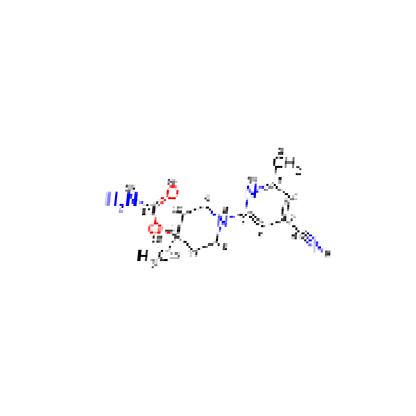 Cc1cc(C#N)cc(N2CCC(C)(OC(N)=O)CC2)n1